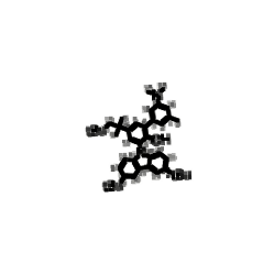 Cc1cc(-c2cc(C(C)(C)CC(C)(C)C)cc(-n3c4ccc(C(C)(C)C)cc4c4cc(C(C)(C)C)ccc43)c2O)cc(N(C)C)c1